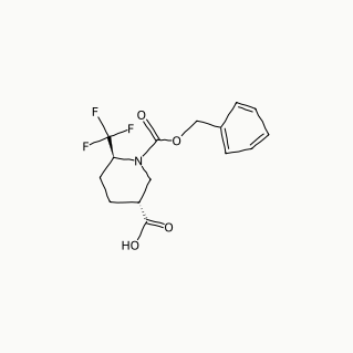 O=C(O)[C@@H]1CC[C@@H](C(F)(F)F)N(C(=O)OCc2ccccc2)C1